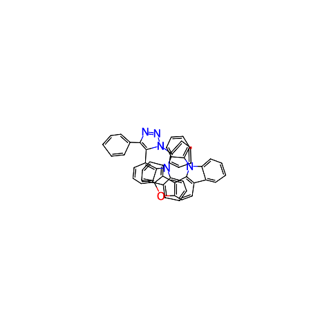 c1ccc(-c2nnn(-c3ccccc3)c2-c2cccc3c4ccccc4n(-c4ccccc4-n4c5ccccc5c5ccc6oc7ccccc7c6c54)c23)cc1